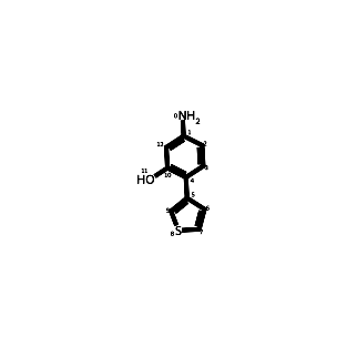 Nc1ccc(-c2ccsc2)c(O)c1